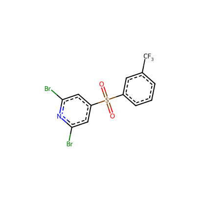 O=S(=O)(c1cccc(C(F)(F)F)c1)c1cc(Br)nc(Br)c1